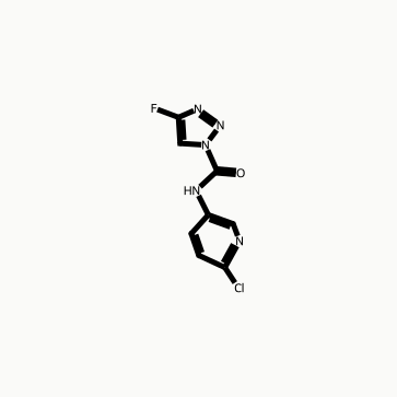 O=C(Nc1ccc(Cl)nc1)n1cc(F)nn1